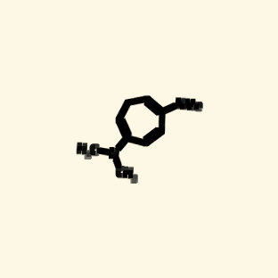 CNC1=CCC=C(N(C)C)C=C1